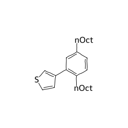 CCCCCCCCc1ccc(CCCCCCCC)c(-c2ccsc2)c1